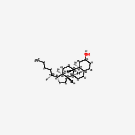 CC(C)CCC[C@@H](C)[C@H]1CC[C@H]2[C@@H]3CCC4CCC(O)C[C@]4(C)[C@H]3CC[C@]12C